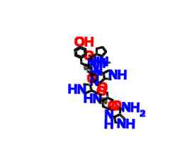 CNC1CCCC1C(=O)N[C@H](CC(=O)NC1CNCC1C(=O)NC1CNCC1C(=O)N[C@H](CC(=O)NC1CNCC1C(N)=O)C(C)C)Cc1ccc(O)cc1